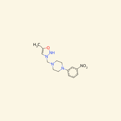 CC1=CN(CN2CCN(c3cccc([N+](=O)[O-])c3)CC2)NO1